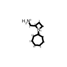 NCC1CCN1C1CCCCCC1